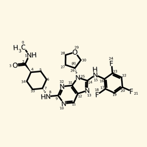 CNC(=O)[C@H]1CC[C@H](Nc2ncc3nc(Nc4c(F)cc(F)cc4F)n([C@@H]4CCOC4)c3n2)CC1